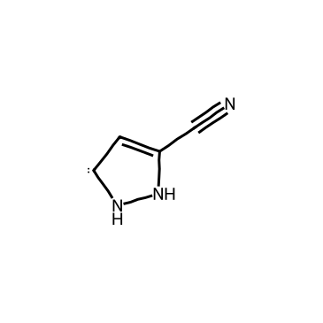 N#CC1=C[C]NN1